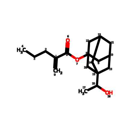 C=C(CCC)C(=O)OC12CC3CC(C1)CC(C(C)O)(C3)C2